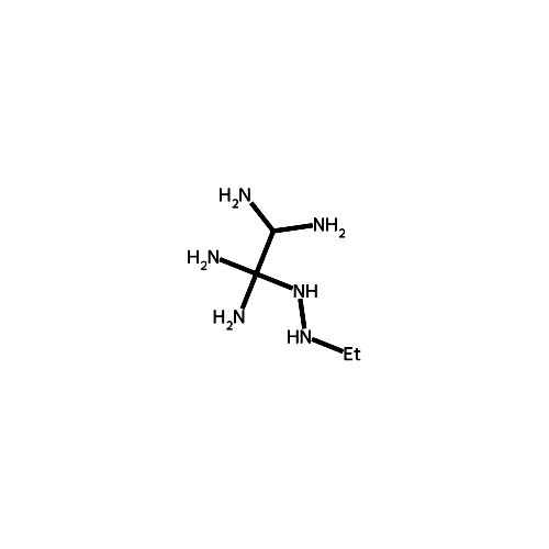 CCNNC(N)(N)C(N)N